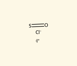 O=S.[Cl-].[I+]